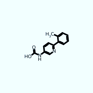 Cc1ccccc1-c1ccc(NC(=O)O)cn1